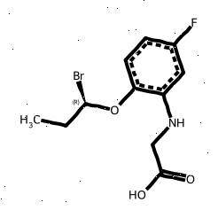 CC[C@@H](Br)Oc1ccc(F)cc1NCC(=O)O